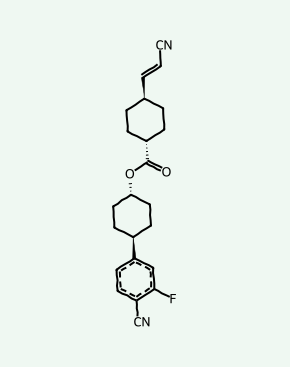 N#CC=C[C@H]1CC[C@H](C(=O)O[C@H]2CC[C@H](c3ccc(C#N)c(F)c3)CC2)CC1